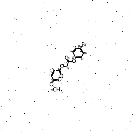 COC(=O)/C=C\C(=O)OCC(=O)Oc1ccc(Br)cc1